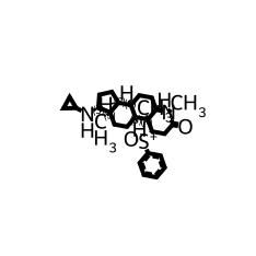 CN1C(=O)CC([S+]([O-])c2ccccc2)[C@]2(C)[C@H]3CC[C@]4(C)[C@@H](NC5CC5)CC[C@H]4[C@@H]3CC[C@@H]12